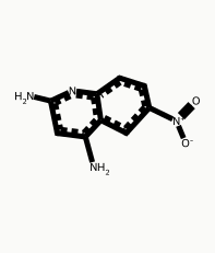 Nc1cc(N)c2cc([N+](=O)[O-])ccc2n1